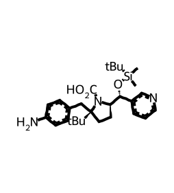 CC(C)(C)[C@]1(Cc2ccc(N)cc2)CC[C@H]([C@H](O[Si](C)(C)C(C)(C)C)c2cccnc2)N1C(=O)O